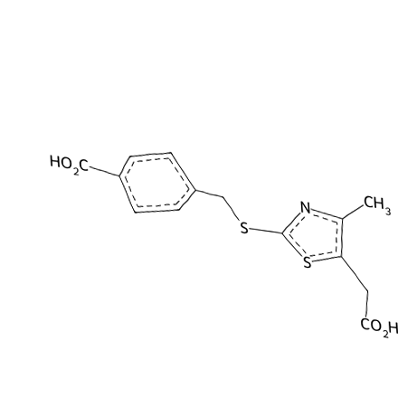 Cc1nc(SCc2ccc(C(=O)O)cc2)sc1CC(=O)O